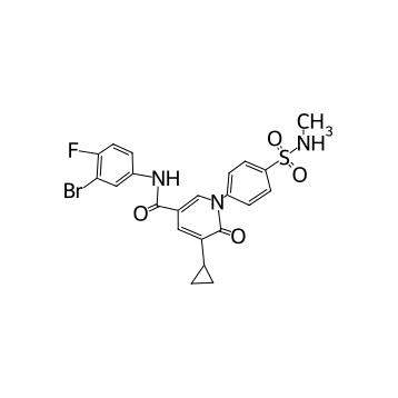 CNS(=O)(=O)c1ccc(-n2cc(C(=O)Nc3ccc(F)c(Br)c3)cc(C3CC3)c2=O)cc1